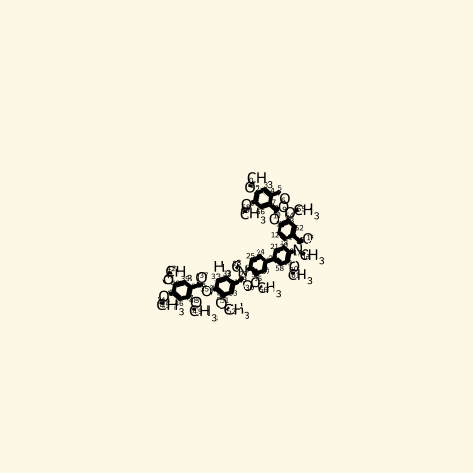 COc1cc(C=O)c(C(=O)Oc2ccc(C(=O)N(C)c3ccc(-c4ccc(N(C)C(=O)c5ccc(OC(=O)c6cc(OC)c(OC)cc6OC)c(OC)c5)c(OC)c4)cc3OC)cc2OC)cc1OC